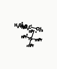 CC(=O)O.CCCS(CCC)(CCC)CCC.O.[CaH2]